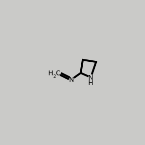 C=NC1CCN1